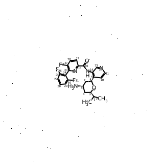 CC(C)[C@H]1C[C@@H](N)C[C@@H](c2ccncc2NC(=O)c2ccc(F)c(-c3c(F)cccc3F)n2)O1